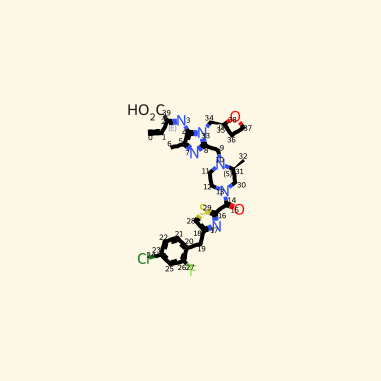 C=C/C(=N\c1c(C)nc(CN2CCN(C(=O)c3nc(Cc4ccc(Cl)cc4F)cs3)C[C@@H]2C)n1C[C@@H]1CCO1)C(=O)O